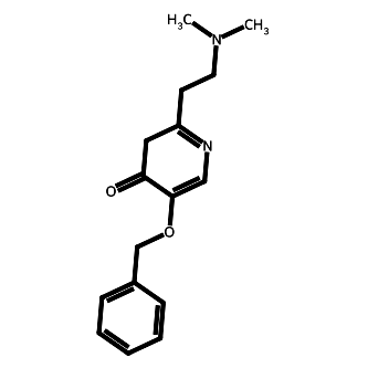 CN(C)CCC1=NC=C(OCc2ccccc2)C(=O)C1